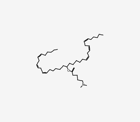 C=C(CCCCN(C)C)OC(CCCCC/C=C\C/C=C\C/C=C\CCCCC)CCCCC/C=C\C/C=C\C/C=C\CCCCC